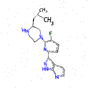 CC(C)C[C@H]1CN(c2nc(-c3n[nH]c4ncccc34)ccc2F)CCN1